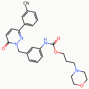 N#Cc1cccc(-c2ccc(=O)n(Cc3cccc(NC(=O)OCCCN4CCOCC4)c3)n2)c1